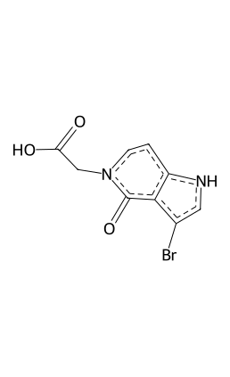 O=C(O)Cn1ccc2[nH]cc(Br)c2c1=O